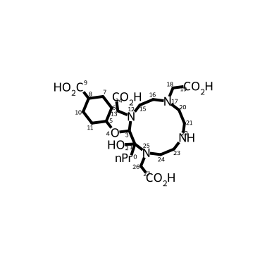 CCCC1(O)C(OC2CCC(C(=O)O)CC2)N(CC(=O)O)CCN(CC(=O)O)CCNCCN1CC(=O)O